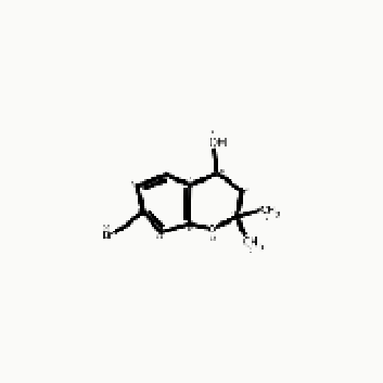 CC1(C)CC(O)c2ccc(Br)cc2O1